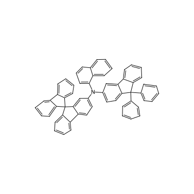 c1ccc(C2(c3ccccc3)c3ccccc3-c3cc(N(c4ccc5c(c4)C4(c6ccccc6-c6ccccc64)c4ccccc4-5)c4cccc5ccccc45)ccc32)cc1